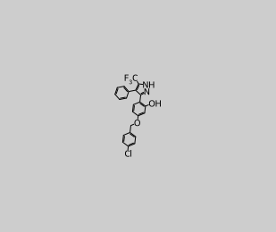 Oc1cc(OCc2ccc(Cl)cc2)ccc1-c1n[nH]c(C(F)(F)F)c1-c1ccccc1